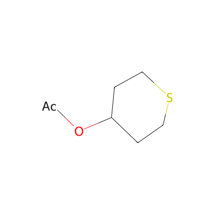 CC(=O)OC1CCSCC1